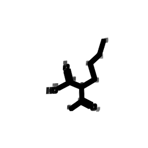 CCCCC(C(C)=O)C(=O)O